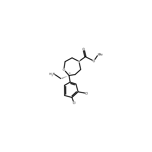 CC(C)(C)OC(=O)N1CCO[C@](CN)(c2ccc(Cl)c(Cl)c2)CC1